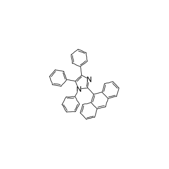 c1ccc(-c2nc(-c3c4ccccc4cc4ccccc34)n(-c3ccccc3)c2-c2ccccc2)cc1